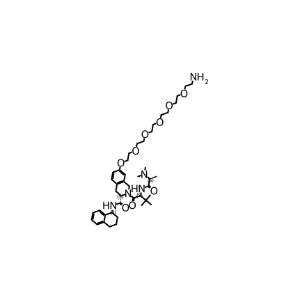 C[C@@H](C(=O)N[C@H](C(=O)N1Cc2cc(OCCOCCOCCOCCOCCOCCN)ccc2C[C@H]1C(=O)N[C@@H]1CCCc2ccccc21)C(C)(C)C)N(C)C